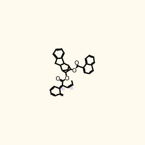 C=c1cccc/c1=C(/C=C\C)C(=O)OC1C2CC(C1OC(=O)c1cccc3ccccc13)C1c3ccccc3CC21